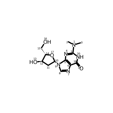 CN(C)c1nc2c(ncn2[C@@H]2C[C@@H](O)[C@H](CO)O2)c(=O)[nH]1